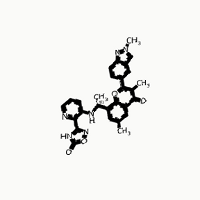 Cc1cc([C@@H](C)Nc2cccnc2-c2noc(=O)[nH]2)c2oc(-c3ccc4nn(C)cc4c3)c(C)c(=O)c2c1